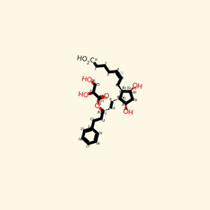 O=C(O)CCC/C=C\C[C@@H]1[C@@H](CC[C@H](CCc2ccccc2)OC(=O)C(O)CO)[C@H](O)C[C@@H]1O